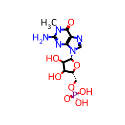 Cn1c(N)nc2c(ncn2[C@@H]2O[C@H](COP(=O)(O)O)C(O)C2O)c1=O